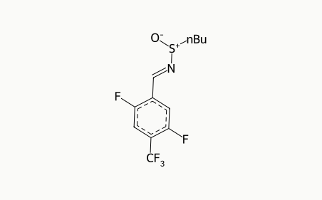 CCCC[S+]([O-])/N=C/c1cc(F)c(C(F)(F)F)cc1F